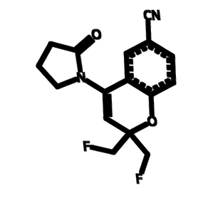 N#Cc1ccc2c(c1)C(N1CCCC1=O)=CC(CF)(CF)O2